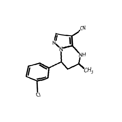 CC1CC(c2cccc(Cl)c2)n2ncc(C#N)c2N1